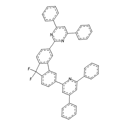 FC1(F)c2ccc(-c3cc(-c4ccccc4)cc(-c4ccccc4)n3)cc2-c2cc(-c3nc(-c4ccccc4)cc(-c4ccccc4)n3)ccc21